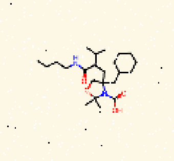 CCCCNC(=O)C(CC1(CC2CCCCC2)COC(C)(C)N1C(=O)O)C(C)C